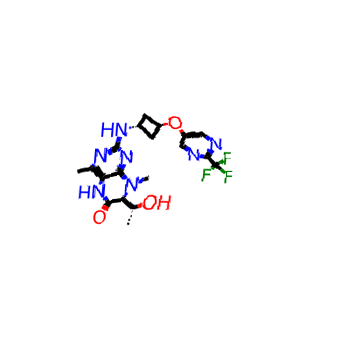 Cc1nc(N[C@H]2C[C@H](Oc3cnc(C(F)(F)F)nc3)C2)nc2c1NC(=O)[C@H]([C@@H](C)O)N2C